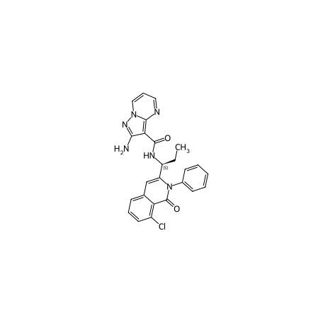 CC[C@H](NC(=O)c1c(N)nn2cccnc12)c1cc2cccc(Cl)c2c(=O)n1-c1ccccc1